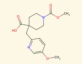 COC(=O)N1CCC(Cc2ccc(OC)cn2)(C(=O)O)CC1